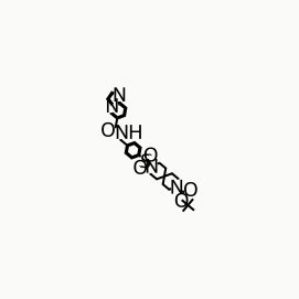 CC(C)(C)OC(=O)N1CCC2(CC1)CCN(S(=O)(=O)c1ccc(CNC(=O)c3ccc4nccn4c3)cc1)CC2